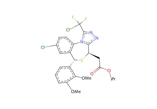 COc1cccc([C@H]2S[C@H](CC(=O)OC(C)C)c3nnc(C(F)(F)Cl)n3-c3ccc(Cl)cc32)c1OC